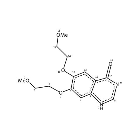 COCCOc1cc2[nH]cnc(=O)c2cc1OCCOC